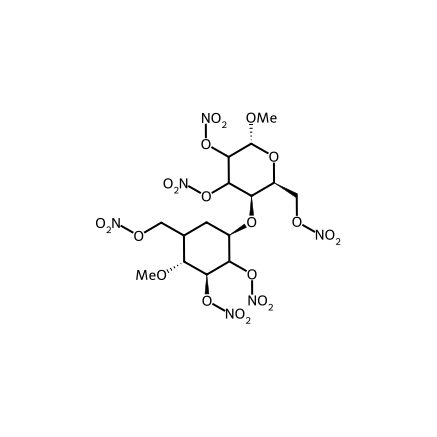 CO[C@@H]1O[C@@H](CO[N+](=O)[O-])[C@@H](O[C@@H]2CC(CO[N+](=O)[O-])[C@@H](OC)[C@H](O[N+](=O)[O-])C2O[N+](=O)[O-])C(O[N+](=O)[O-])C1O[N+](=O)[O-]